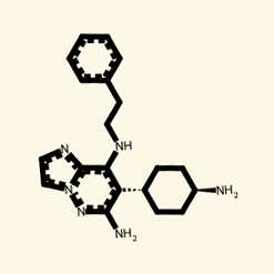 Nc1nn2ccnc2c(NCCc2ccccc2)c1[C@H]1CC[C@H](N)CC1